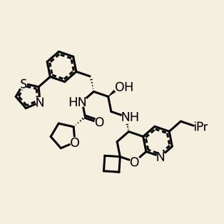 CC(C)Cc1cnc2c(c1)[C@@H](NC[C@H](O)[C@@H](Cc1cccc(-c3nccs3)c1)NC(=O)[C@H]1CCCO1)CC1(CCC1)O2